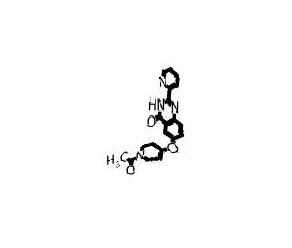 CC(=O)N1CCC(Oc2ccc3nc(-c4ccccn4)[nH]c(=O)c3c2)CC1